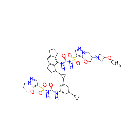 COC1CN(C2COc3c(S(=O)(=O)NC(=O)Nc4c5c(cc6c4C(C4CC4c4cc(NC(=O)NS(=O)(=O)c7cnn8c7OCCC8)cc(C7CC7)c4)CC6)CCC5)cnn3C2)C1